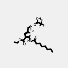 CCCCCCCC(=O)Nc1sc(CN)cc1C(=O)OCC.O=C(O)C(F)(F)F